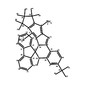 Bc1c2c(c(B)c3c1nc1n3C3(c4ccccc4-c4ccccc43)N(C)c3cc(C(C)(C)C)ccc3-1)C(C)(C)C(C)(C)C2(C)C